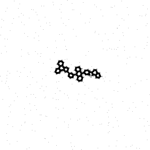 c1cc(-c2ccc3c4ccccc4c4ccccc4c3c2)cc(-c2c3ccccc3c(-c3ccc4c(c3)oc3c5ccccc5ccc43)c3ccccc23)c1